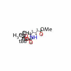 COC(=O)CCCC(CO[Si](C)(C)C(C)(C)C)NC(=O)OC(C)(C)C